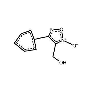 [O-][n+]1onc(-c2ccccc2)c1CO